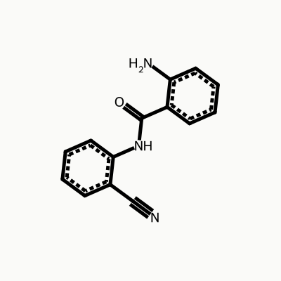 N#Cc1ccccc1NC(=O)c1ccccc1N